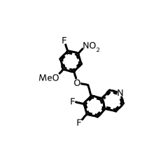 COc1cc(F)c([N+](=O)[O-])cc1OCc1c(F)c(F)cc2ccncc12